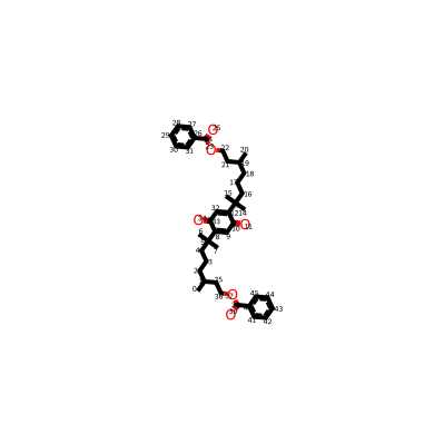 CC(CCCC(C)(C)C1=CC(=O)C(C(C)(C)CCCC(C)CCOC(=O)c2ccccc2)=CC1=O)CCOC(=O)c1ccccc1